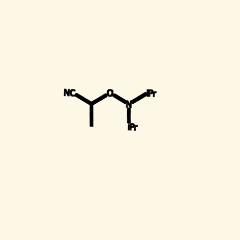 CC(C#N)ON(C(C)C)C(C)C